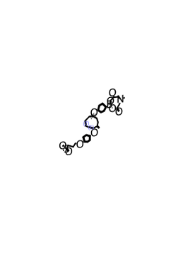 C=C1CC[C@@H](Oc2ccc(B3OC(=O)CN(C)CC(=O)O3)cc2)C/C=C\C=C/1Oc1ccc(OCCCS(C)(=O)=O)cc1